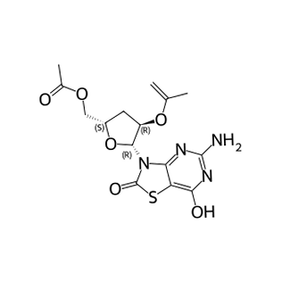 C=C(C)O[C@@H]1C[C@@H](COC(C)=O)O[C@H]1n1c(=O)sc2c(O)nc(N)nc21